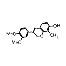 COc1ccc(C2COc3c(ccc(O)c3C)C2)cc1OC